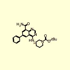 CC(C)(C)OC(=O)N1CCC[C@H](Nc2ncnc3c(C(N)=O)cc(-c4ccccc4)cc23)C1